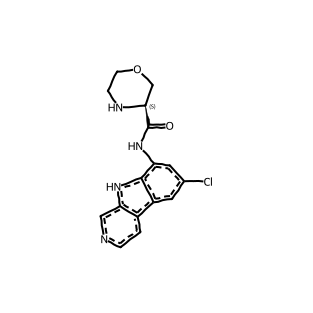 O=C(Nc1cc(Cl)cc2c1[nH]c1cnccc12)[C@@H]1COCCN1